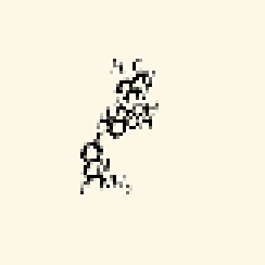 Cc1ncnc2c1ccn2[C@@H]1O[C@@H]2[C@H](Cc3ccc4cc(F)c(N)nc4c3)CC[C@]2(O)C1O